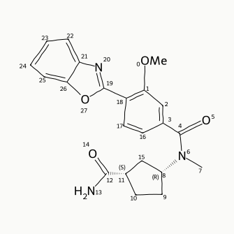 COc1cc(C(=O)N(C)[C@@H]2CC[C@H](C(N)=O)C2)ccc1-c1nc2ccccc2o1